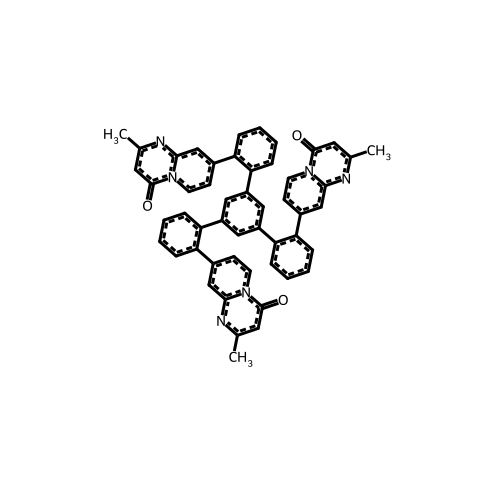 Cc1cc(=O)n2ccc(-c3ccccc3-c3cc(-c4ccccc4-c4ccn5c(=O)cc(C)nc5c4)cc(-c4ccccc4-c4ccn5c(=O)cc(C)nc5c4)c3)cc2n1